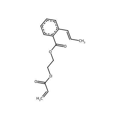 C=CC(=O)OCCOC(=O)c1ccccc1C=CC